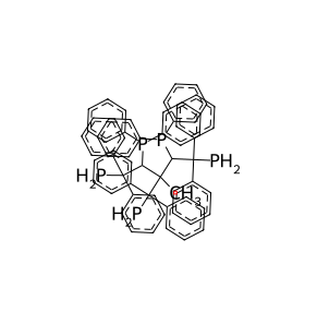 CC(C(P(c1ccccc1)c1ccccc1)C(P)(c1ccccc1)c1ccccc1)(C(P(c1ccccc1)c1ccccc1)C(P)(c1ccccc1)c1ccccc1)C(P)(c1ccccc1)c1ccccc1